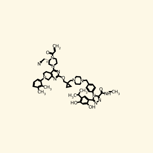 C=CC(=O)N1CCN(c2nc(OCC3(CN4CCN(Cc5ccc(-n6c(C(=O)NCC)nnc6-c6cc(C(C)C)c(O)cc6O)cc5)CC4)CC3)nc3c2CCN(c2cccc(C)c2C)C3)C[C@@H]1CC#N